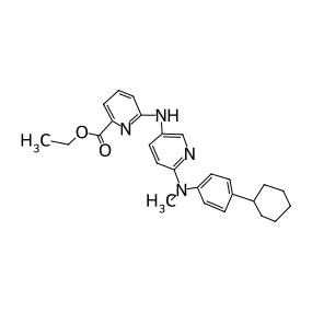 CCOC(=O)c1cccc(Nc2ccc(N(C)c3ccc(C4CCCCC4)cc3)nc2)n1